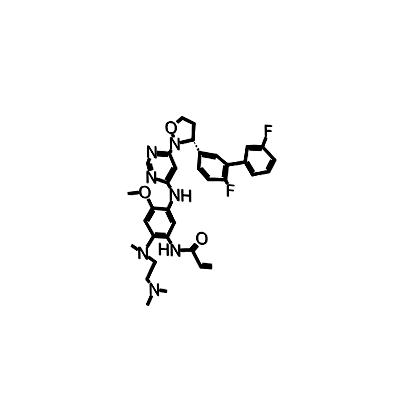 C=CC(=O)Nc1cc(Nc2cc(N3OCC[C@@H]3c3ccc(F)c(-c4cccc(F)c4)c3)ncn2)c(OC)cc1N(C)CCN(C)C